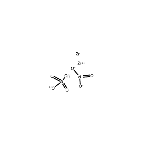 O=S(=O)(O)O.O=[N+]([O-])[O-].[Zr+4].[Zr]